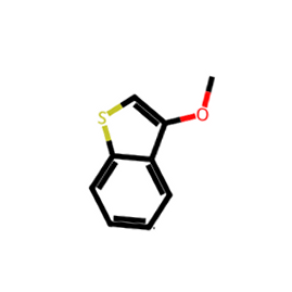 COc1csc2cc[c]cc12